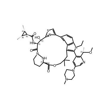 CCn1c(-c2cc(N3CCN(C)CC3)cnc2[C@H](C)OC)c2c3cc(ccc31)-c1csc(n1)[C@@H](O)[C@H](NC(=O)[C@H]1[C@H](C)[C@@H]1C)C(=O)N1CCC[C@H](N1)C(=O)OCC(C)(C)C2